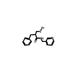 CC(=O)SCC(Cc1ccccc1)C(=O)NCc1cccnc1